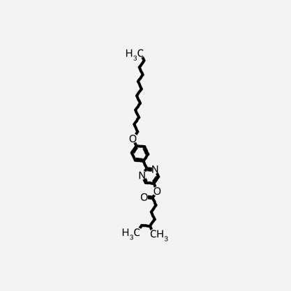 CCCCCCCCCCCCOc1ccc(-c2ncc(OC(=O)CCCC(C)CC)cn2)cc1